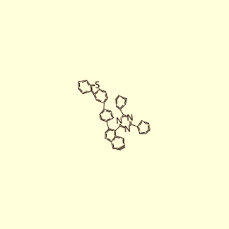 c1cc2ccc(-c3ccc(-c4ccc5sc6ccccc6c5c4)cc3)c(-c3nc(-c4ccccc4)nc(-c4ccccc4)n3)c2cc#1